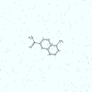 Cc1ncnc2cc(C(N)=O)ccc12